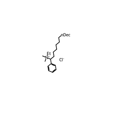 CCCCCCCCCCCCCCCCC(c1ccccc1)[N+](C)(C)CC.[Cl-]